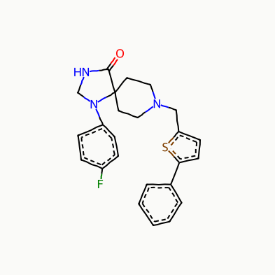 O=C1NCN(c2ccc(F)cc2)C12CCN(Cc1ccc(-c3ccccc3)s1)CC2